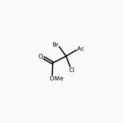 COC(=O)C(Cl)(Br)C(C)=O